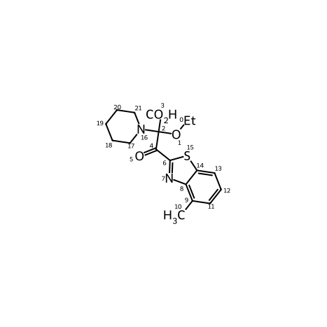 CCOC(C(=O)O)(C(=O)c1nc2c(C)cccc2s1)N1CCCCC1